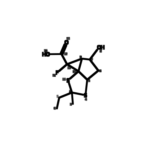 CCC1(C)SC2CC(O)C3C(F)(C(=O)O)C23S1